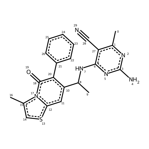 Cc1nc(N)nc(NC(C)c2cc3scc(C)n3c(=O)c2-c2ccccc2)c1C#N